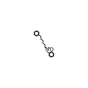 O=CN(CCCCCCc1ccccc1)Cc1ccccc1